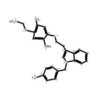 COc1cc(OCC(=O)O)c(C)cc1SCCc1cn(Cc2ccc(C(F)(F)F)cc2)c2ccccc12